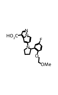 COCCOc1ccc(F)cc1C1CCCN1c1ccn2ncc(C(=O)O)c2c1